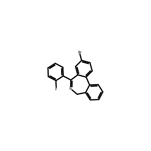 Fc1ccccc1C1=NCc2ccccc2-c2ccc(Br)cc21